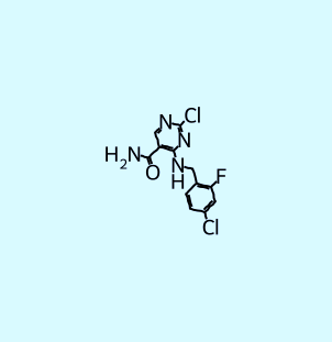 NC(=O)c1cnc(Cl)nc1NCc1ccc(Cl)cc1F